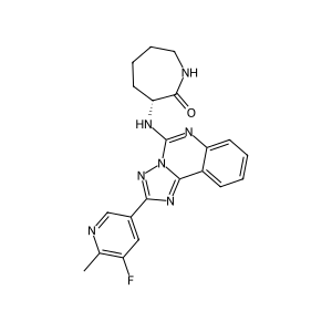 Cc1ncc(-c2nc3c4ccccc4nc(N[C@@H]4CCCCNC4=O)n3n2)cc1F